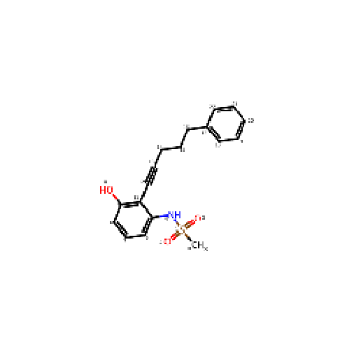 CS(=O)(=O)Nc1cccc(O)c1C#CCCCc1ccccc1